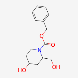 O=C(OCc1ccccc1)N1CCC(O)CC1CO